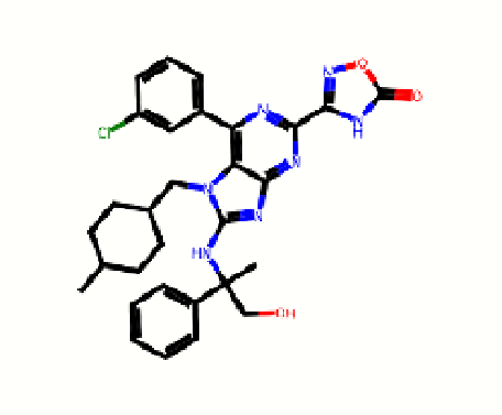 CC1CCC(Cn2c(NC(C)(CO)c3ccccc3)nc3nc(-c4noc(=O)[nH]4)nc(-c4cccc(Cl)c4)c32)CC1